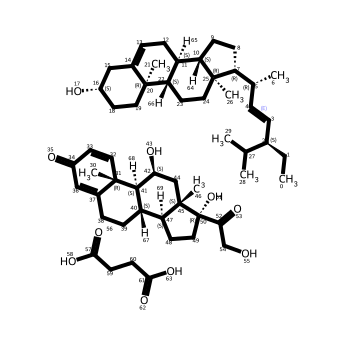 CC[C@H](/C=C/[C@@H](C)[C@H]1CC[C@H]2[C@@H]3CC=C4C[C@@H](O)CC[C@]4(C)[C@H]3CC[C@]12C)C(C)C.C[C@]12C=CC(=O)C=C1CC[C@@H]1[C@@H]2[C@@H](O)C[C@@]2(C)[C@H]1CC[C@]2(O)C(=O)CO.O=C(O)CCC(=O)O